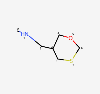 CNCC1COCSC1